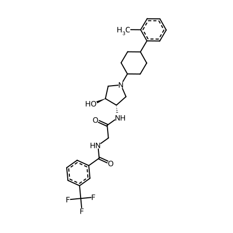 Cc1ccccc1C1CCC(N2C[C@H](NC(=O)CNC(=O)c3cccc(C(F)(F)F)c3)[C@@H](O)C2)CC1